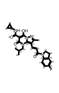 Cc1nn2c(O)c(C(=O)NC3CC3)c(=O)n(CC(C)C)c2c1C=CC(=O)N1CCc2cc(F)ccc21